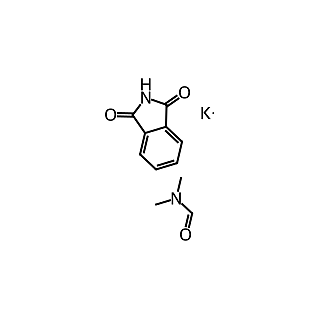 CN(C)C=O.O=C1NC(=O)c2ccccc21.[K]